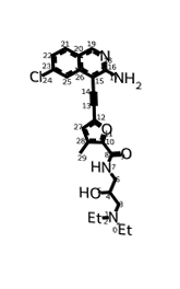 CCN(CC)CC(O)CNC(=O)c1oc(C#Cc2c(N)ncc3ccc(Cl)cc23)cc1C